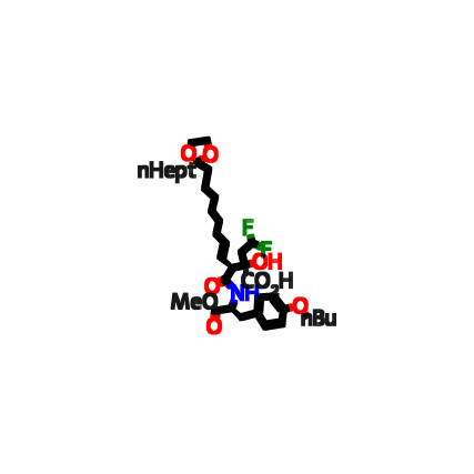 CCCCCCCC1(CCCCCCC=C[C@H](C(=O)N[C@@H](Cc2ccc(OCCCC)cc2)C(=O)OC)[C@@](O)(CC(F)F)C(=O)O)OCCO1